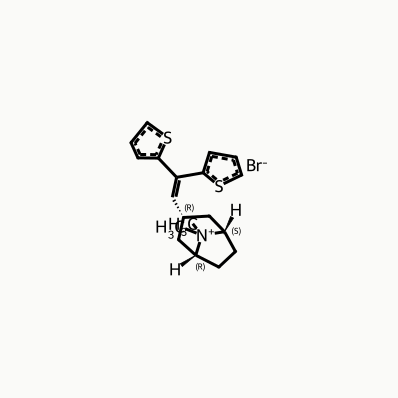 C[N+]1(C)[C@@H]2CC[C@H]1C[C@@H](C=C(c1cccs1)c1cccs1)C2.[Br-]